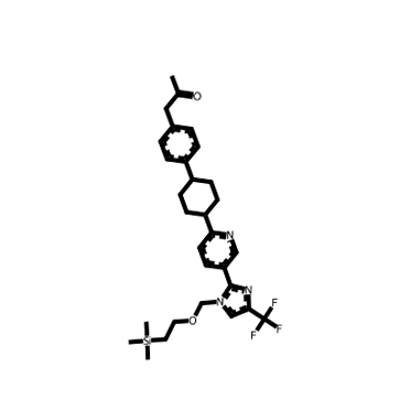 CC(=O)Cc1ccc(C2CCC(c3ccc(-c4nc(C(F)(F)F)cn4COCC[Si](C)(C)C)cn3)CC2)cc1